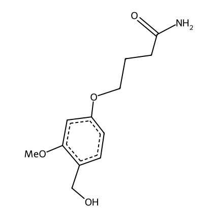 COc1cc(OCCCC(N)=O)ccc1CO